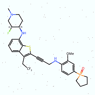 COc1cc(P2(=O)CCCC2)ccc1NCC#Cc1sc2c(N[C@@H]3CCN(C)C[C@@H]3F)cccc2c1CC(F)(F)F